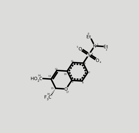 CCN(CC)S(=O)(=O)c1ccc2c(c1)C=C(C(=O)O)[C@@H](C(F)(F)F)O2